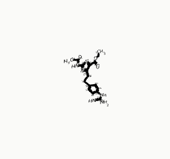 CCOC(=O)c1sc(NC(C)=O)nc1CCc1ccc(NC(=N)N)cc1